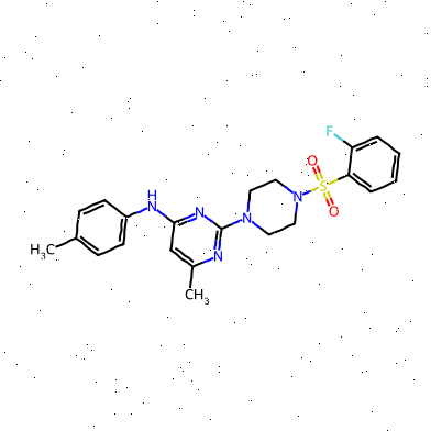 Cc1ccc(Nc2cc(C)nc(N3CCN(S(=O)(=O)c4ccccc4F)CC3)n2)cc1